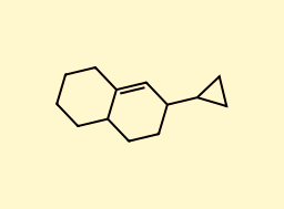 C1=C2CCCCC2CCC1C1CC1